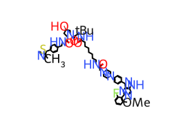 COc1cccc(F)c1-c1ncc2[nH]nc(-c3ccc(N4CCN(CC(=O)NCCCCCCCC(=O)N[C@H](C(=O)N5C[C@H](O)C[C@H]5C(=O)NCc5ccc(-c6scnc6C)cc5)C(C)(C)C)CC4)cc3)c2n1